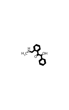 CNCc1ccccc1C(=O)C(O)c1ccccc1